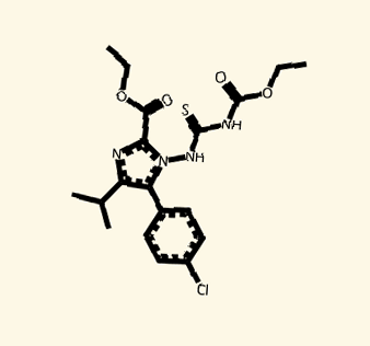 CCOC(=O)NC(=S)Nn1c(C(=O)OCC)nc(C(C)C)c1-c1ccc(Cl)cc1